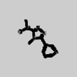 Cn1c(-c2cccnc2)nnc1[S+](C)[O-]